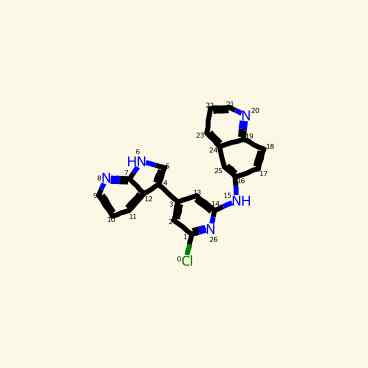 Clc1cc(-c2c[nH]c3ncccc23)cc(Nc2ccc3ncccc3c2)n1